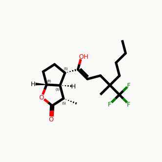 CCCCC(C)(CC=C(O)[C@H]1CC[C@H]2OC(=O)[C@@H](C)[C@H]12)C(F)(F)F